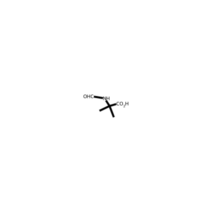 CC(C)(NC=O)C(=O)O